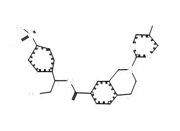 CC[C@H]1CN(c2ncc(C(=O)O)cn2)Cc2cc(C(=O)NC(CO)c3ccc(S(=O)(=O)CC)cc3)ccc21